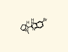 CN1C2CC[C@@H](C2)C1c1nc2ccc(Br)cc2[nH]1